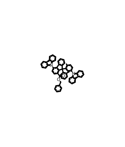 Cc1ccccc1C1(c2cc(-n3c4ccccc4c4ccccc43)ccc2C)c2ccccc2-c2c(-n3c4ccccc4c4ccccc43)ccc(C(=O)OCc3ccccc3)c21